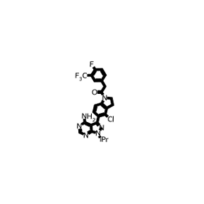 CC(C)n1nc(-c2ccc3c(c2Cl)CCN3C(=O)Cc2ccc(F)c(C(F)(F)F)c2)c2c(N)ncnc21